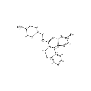 NC1CCC(COC(=O)N2CCc3ccccc3C2c2ccc(F)cc2)CC1